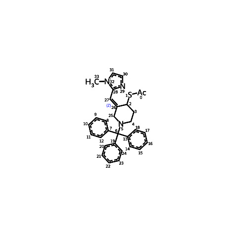 CC(=O)SC1CCN(C(c2ccccc2)(c2ccccc2)c2ccccc2)C/C1=C/c1nccn1C